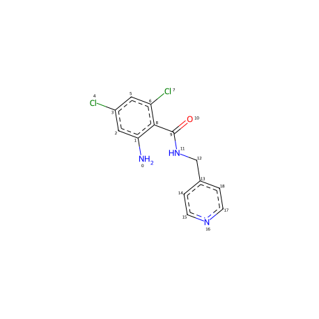 Nc1cc(Cl)cc(Cl)c1C(=O)NCc1ccncc1